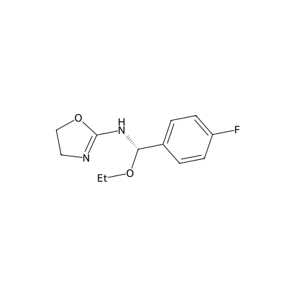 CCO[C@H](NC1=NCCO1)c1ccc(F)cc1